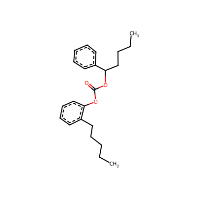 CCCCCc1ccccc1OC(=O)OC(CCCC)c1ccccc1